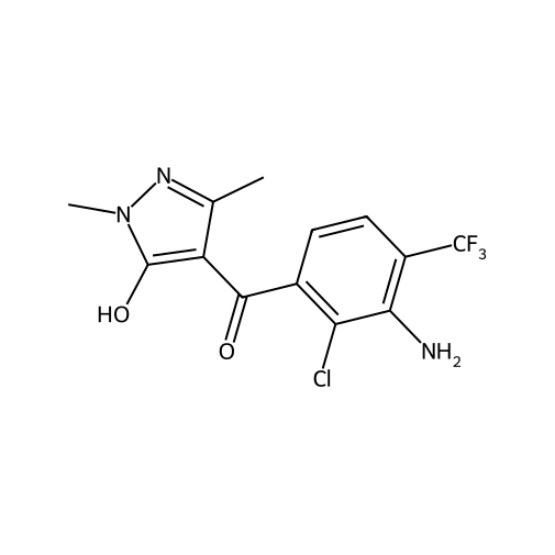 Cc1nn(C)c(O)c1C(=O)c1ccc(C(F)(F)F)c(N)c1Cl